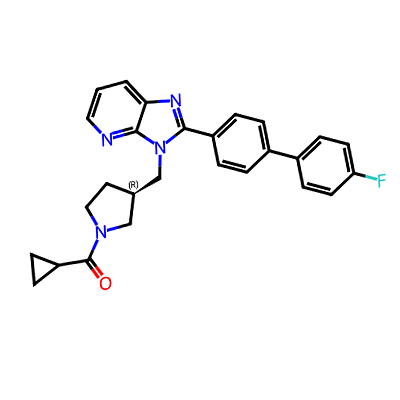 O=C(C1CC1)N1CC[C@@H](Cn2c(-c3ccc(-c4ccc(F)cc4)cc3)nc3cccnc32)C1